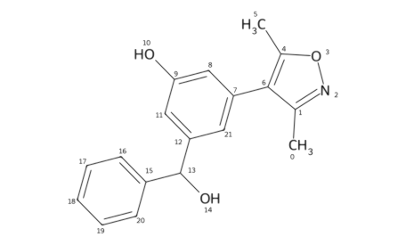 Cc1noc(C)c1-c1cc(O)cc(C(O)c2ccccc2)c1